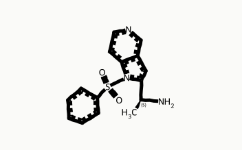 C[C@H](N)c1cc2cnccc2n1S(=O)(=O)c1ccccc1